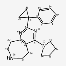 c1ccc(C2(c3nc4c(c(N5CCCC5)n3)CCNCC4)CC2)cc1